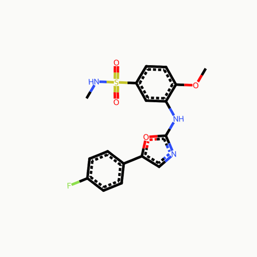 CNS(=O)(=O)c1ccc(OC)c(Nc2ncc(-c3ccc(F)cc3)o2)c1